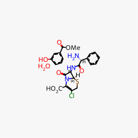 COC(=O)c1cccc(O)c1.N[C@@H](C(=O)N[C@@H]1C(=O)N2C(C(=O)O)=C(Cl)CS[C@H]12)c1ccccc1.O